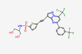 O=S(=O)(NC(CO)CO)c1ccc(C#Cc2cnn3c(C(F)(F)F)cc(-c4cccc(C(F)(F)F)c4)nc23)s1